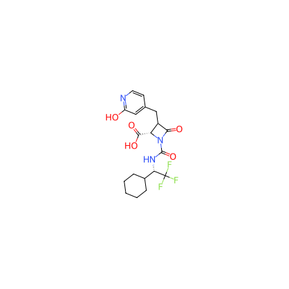 O=C(O)[C@@H]1C(Cc2ccnc(O)c2)C(=O)N1C(=O)N[C@@H](C1CCCCC1)C(F)(F)F